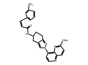 COc1ccc2nccc(-n3cc4c(n3)CCC(NC(=O)/C=C\c3cccc([N+](=O)[O-])c3)C4)c2n1